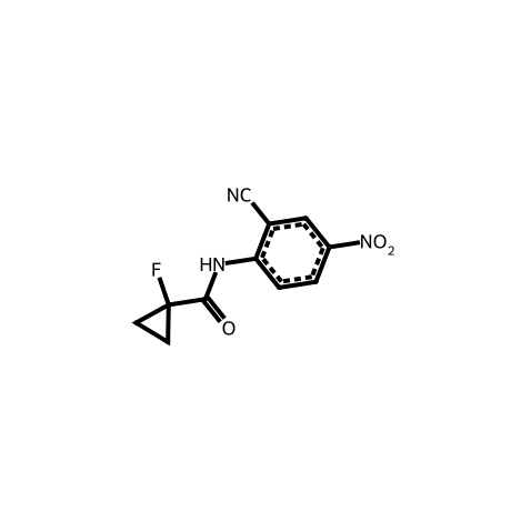 N#Cc1cc([N+](=O)[O-])ccc1NC(=O)C1(F)CC1